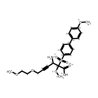 COCCOCC#CC(N)C(OC)(C(=O)O)S(=O)(=O)c1ccc(-c2ccc(OC)cc2)cc1